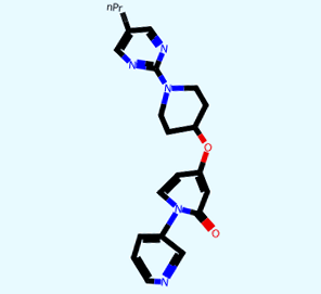 CCCc1cnc(N2CCC(Oc3ccn(-c4cccnc4)c(=O)c3)CC2)nc1